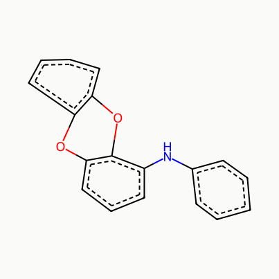 c1ccc(Nc2cccc3c2Oc2ccccc2O3)cc1